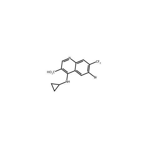 O=C(O)c1cnc2cc(C(F)(F)F)c(Br)cc2c1NC1CC1